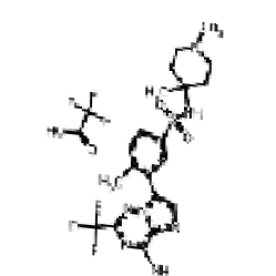 Cc1ccc(S(=O)(=O)NC2(C)CCN(C)CC2)cc1-c1cnc2c(N)nc(C(F)(F)F)nn12.O=C(O)C(F)(F)F